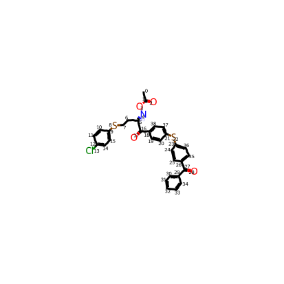 CC(=O)O/N=C(\CCSc1ccc(Cl)cc1)C(=O)c1ccc(Sc2ccc(C(=O)c3ccccc3)cc2)cc1